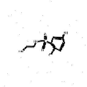 [NH]c1ccc(Cl)c(S(=O)(=O)NCCO)c1